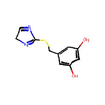 Oc1cc(O)cc(CSC2=NCC=N2)c1